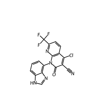 N#Cc1c(Cl)c2ccc(C(F)(F)F)nc2n(-c2cccc3[nH]cnc23)c1=O